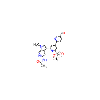 CO[C@@]1(c2cc(-c3ccc(C=O)cn3)cc(-c3cn(C)c4cnc(NC(C)=O)cc34)n2)CCOC1